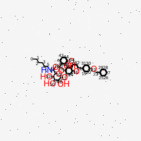 CCCCCCNC(=O)C1OC(Oc2cc3oc(-c4ccc(OCc5ccccc5)cc4)cc(=O)c3c(O)c2OCc2ccccc2)C(O)C(O)C1O